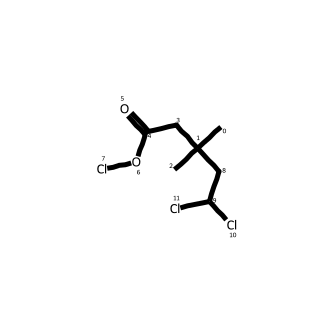 CC(C)(CC(=O)OCl)CC(Cl)Cl